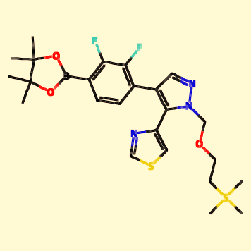 CC1(C)OB(c2ccc(-c3cnn(COCCS(C)(C)C)c3-c3cscn3)c(F)c2F)OC1(C)C